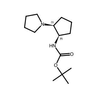 CC(C)(C)OC(=O)N[C@@H]1CCC[C@@H]1N1CCCC1